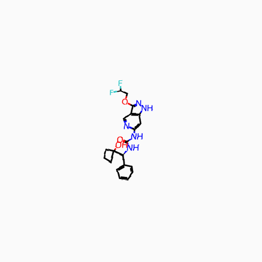 O=C(Nc1cc2[nH]nc(OCC(F)F)c2cn1)N[C@@H](c1ccccc1)C1(O)CCC1